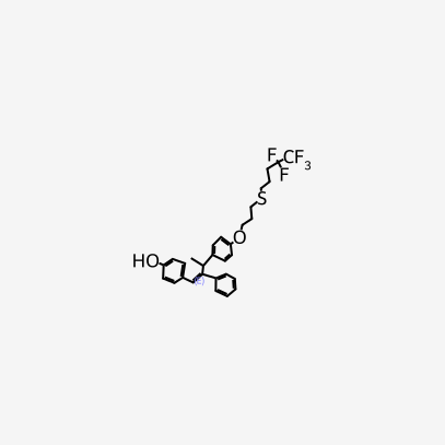 CC(/C(=C\c1ccc(O)cc1)c1ccccc1)c1ccc(OCCCSCCCC(F)(F)C(F)(F)F)cc1